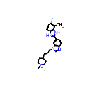 Cc1c(F)ccc2c1NC(c1ccc3ncn(CCCC4CCN(C)CC4)c3c1)N2